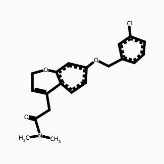 CN(C)C(=O)CC1=CCOc2cc(OCc3cccc(Cl)c3)ccc21